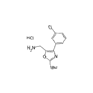 CC(C)(C)c1nc(-c2cccc(Cl)c2)c(CN)o1.Cl